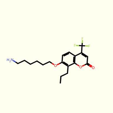 CCCc1c(OCCCCCCN)ccc2c(C(F)(F)F)cc(=O)oc12